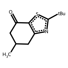 CC1CC(=O)c2sc(C(C)(C)C)nc2C1